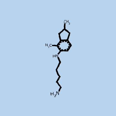 Cc1c(NCCCCCN)ccc2c1CC(C)C2